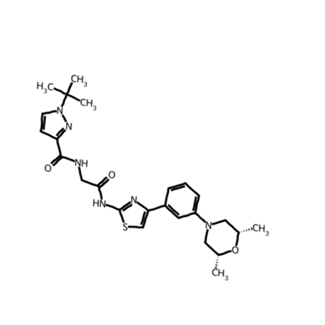 C[C@@H]1CN(c2cccc(-c3csc(NC(=O)CNC(=O)c4ccn(C(C)(C)C)n4)n3)c2)C[C@H](C)O1